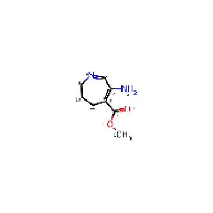 COC(=O)C1=C(N)C=NCCC1